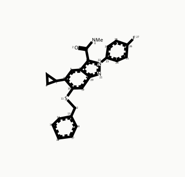 CNC(=O)c1c2cc(C3CC3)c(SCc3ccccc3)cc2nn1-c1ccc(F)cc1